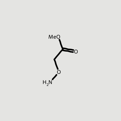 COC(=O)CON